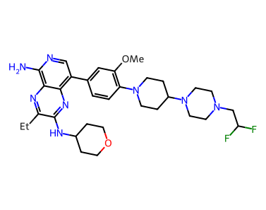 CCc1nc2c(N)ncc(-c3ccc(N4CCC(N5CCN(CC(F)F)CC5)CC4)c(OC)c3)c2nc1NC1CCOCC1